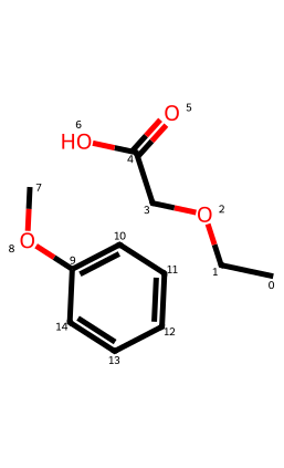 CCOCC(=O)O.COc1ccccc1